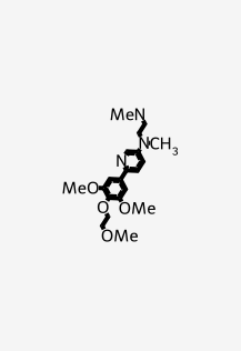 CNCCN(C)c1ccc(-c2cc(OC)c(OCCOC)c(OC)c2)nc1